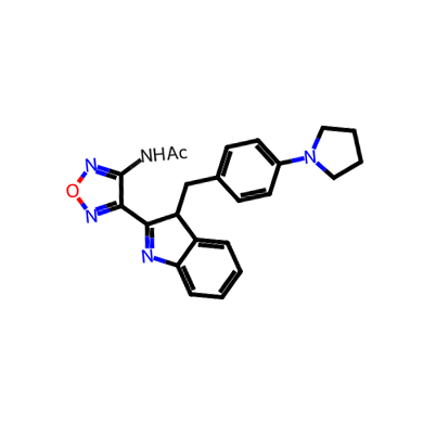 CC(=O)Nc1nonc1C1=Nc2ccccc2C1Cc1ccc(N2CCCC2)cc1